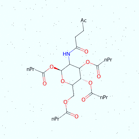 CCCC(=O)OCC1O[C@@H](OC(=O)CCC)C(NC(=O)CCC(C)=O)C(OC(=O)CCC)[C@@H]1OC(=O)CCC